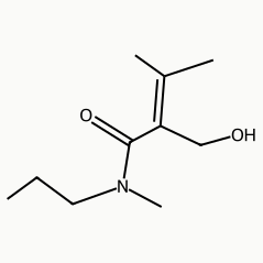 CCCN(C)C(=O)C(CO)=C(C)C